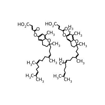 CC(C)=CCCC(C)=CCCC(C)=CCCC1(C)CCc2cc(OC(=O)C=CC(=O)O)c(C)c(C)c2O1.CC(C)=CCCC(C)=CCCC(C)=CCCC1(C)CCc2cc(OC(=O)C=CC(=O)O)cc(C)c2O1